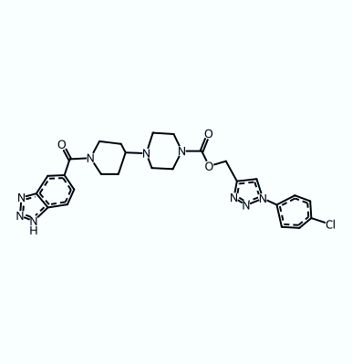 O=C(OCc1cn(-c2ccc(Cl)cc2)nn1)N1CCN(C2CCN(C(=O)c3ccc4[nH]nnc4c3)CC2)CC1